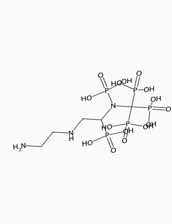 NCCNCC(N(C(P(=O)(O)O)(P(=O)(O)O)P(=O)(O)O)P(=O)(O)O)P(=O)(O)O